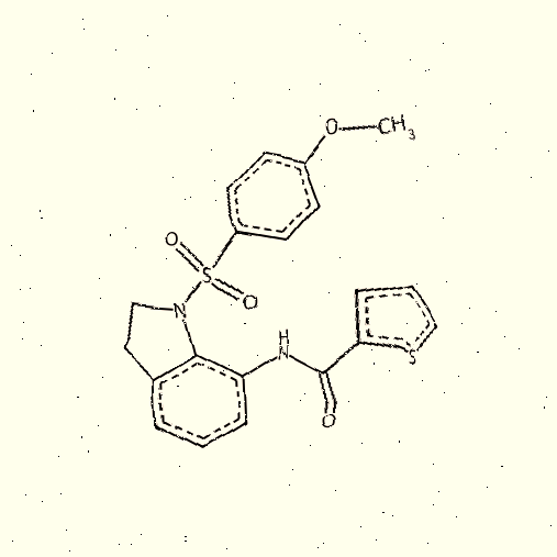 COc1ccc(S(=O)(=O)N2CCc3cccc(NC(=O)c4cccs4)c32)cc1